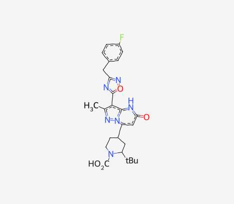 Cc1nn2c(C3CCN(C(=O)O)C(C(C)(C)C)C3)cc(=O)[nH]c2c1-c1nc(Cc2ccc(F)cc2)no1